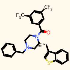 O=C(c1cc(C(F)(F)F)cc(C(F)(F)F)c1)N1CCN(Cc2ccccc2)C[C@H]1Cc1csc2ccccc12